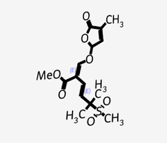 COC(=O)C(/C=C/C(C)(C)S(C)(=O)=O)=C/OC1C=C(C)C(=O)O1